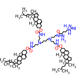 CC(C)CCCC(C)C1CCC2C3CC=C4CC(OC(=O)NCCCN(CCCCN(CCCNC(=O)OC5CCC6(C)C(=CCC7C6CCC6(C)C(C(C)CCCC(C)C)CCC76)C5)CCCNC(=O)C(N)CCCNC(N)N)CCCNC(=O)OC5CCC6(C)C(=CCC7C6CCC6(C)C(C(C)CCCC(C)C)CCC76)C5)CCC4(C)C3CCC12C